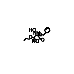 C=CCOC(=O)[C@@H](N)C(OCc1ccccc1)C(=O)O.Cl